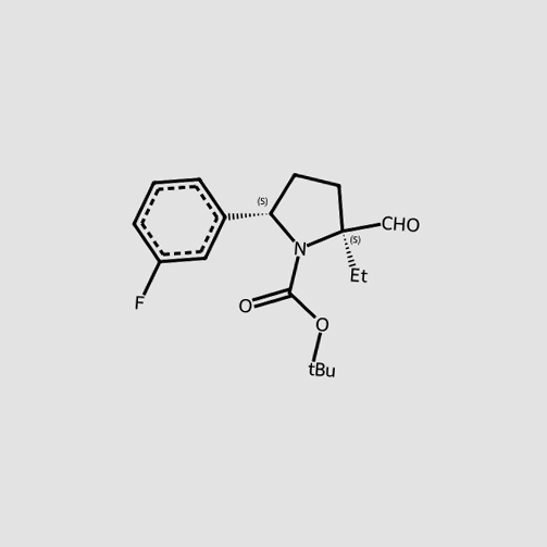 CC[C@@]1(C=O)CC[C@@H](c2cccc(F)c2)N1C(=O)OC(C)(C)C